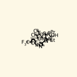 CCCN1C(=O)c2c(nc(-c3cnn(Cc4cccc(C(F)(F)F)c4)c3)n2C(OCCCl)OCCCl)N(CC)C1O